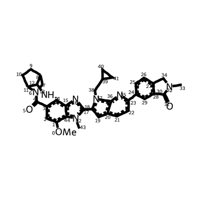 COc1cc(C(=O)N2CC3CCC2C3N)cc2nc(-c3cc4ccc(-c5ccc6c(c5)C(=O)N(C)C6)nc4n3CC3CC3)n(C)c12